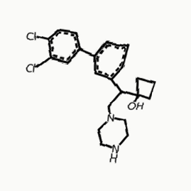 OC1(C(CN2CCNCC2)c2cccc(-c3ccc(Cl)c(Cl)c3)c2)CCC1